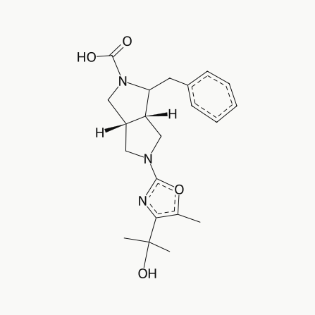 Cc1oc(N2C[C@@H]3CN(C(=O)O)C(Cc4ccccc4)[C@@H]3C2)nc1C(C)(C)O